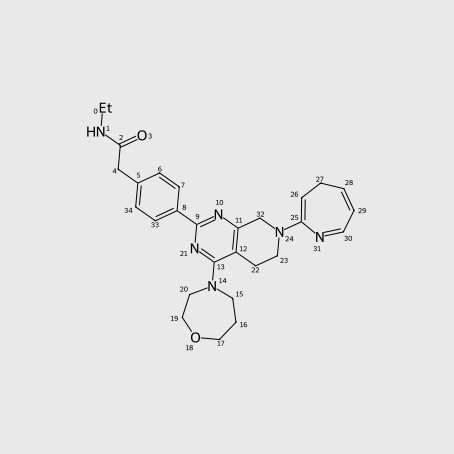 CCNC(=O)Cc1ccc(-c2nc3c(c(N4CCCOCC4)n2)CCN(C2=CCC=CC=N2)C3)cc1